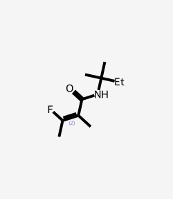 CCC(C)(C)NC(=O)/C(C)=C(/C)F